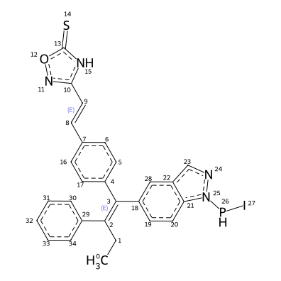 CC/C(=C(/c1ccc(/C=C/c2noc(=S)[nH]2)cc1)c1ccc2c(cnn2PI)c1)c1ccccc1